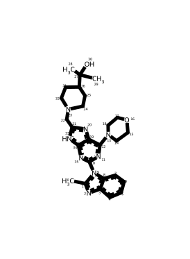 Cc1nc2ccccc2n1-c1nc(N2CCOCC2)c2nc(CN3CCC(C(C)(C)O)CC3)[nH]c2n1